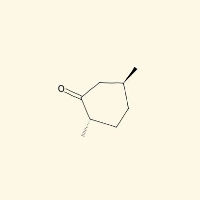 C[C@H]1CC[C@H](C)C(=O)C1